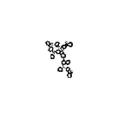 c1ccc(N(c2ccc3c(c2)sc2ccccc23)c2cc(N(c3ccccc3)c3ccc4c(c3)sc3ccccc34)c3sc4ccc(-c5ccc(N(c6ccccc6)c6ccc7sc8ccccc8c7c6)c6ccccc56)cc4c3c2)cc1